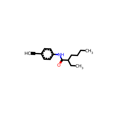 C#Cc1ccc(NC(=O)C(CC)CCCC)cc1